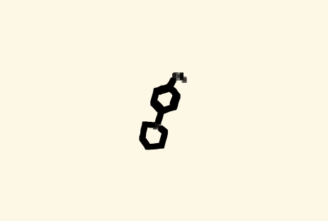 Cc1cc[c]([Al]2[CH2]CCC[CH2]2)cc1